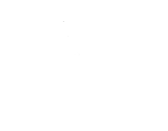 C=CC(C)(CCC=C(C)C)O[Si](C)(C)[Si](C)(C)C